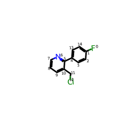 Fc1ccc(-c2ncccc2CCl)cc1